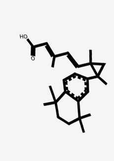 CC(/C=C/C1(C)CC1(C)c1ccc2c(c1)C(C)(C)CCC2(C)C)=C\C(=O)O